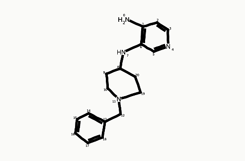 Nc1ccncc1NC1CCN(Cc2ccccc2)CC1